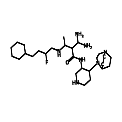 CC(NCC(F)CCC1CCCCC1)C(C(=O)NC1CNCCC1N1CCN2CCC1CC2)C(N)N